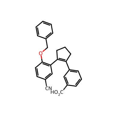 N#Cc1ccc(OCc2ccccc2)c(C2=C(c3cccc(C(=O)O)c3)CCC2)c1